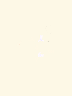 O=C(N[C@@H](Cc1ccccc1)[C@H](O)CNOC1CCCC1)Oc1ccoc1